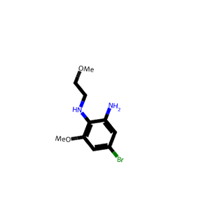 COCCNc1c(N)cc(Br)cc1OC